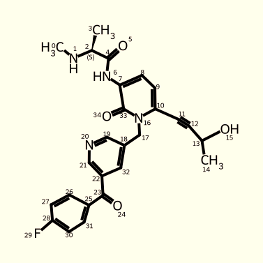 CN[C@@H](C)C(=O)Nc1ccc(C#CC(C)O)n(Cc2cncc(C(=O)c3ccc(F)cc3)c2)c1=O